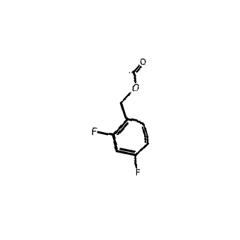 O=[C]OCc1ccc(F)cc1F